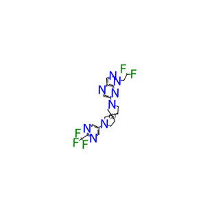 FC(F)Cn1ncc2ncc(N3CC[C@]4(CCN(c5cnc(C(F)(F)F)nc5)C4)C3)nc21